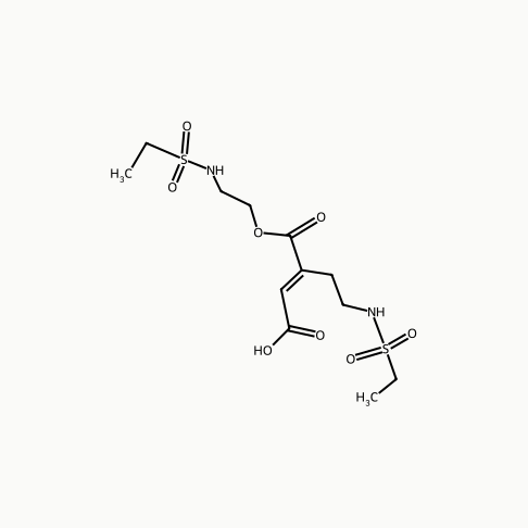 CCS(=O)(=O)NCCOC(=O)C(=CC(=O)O)CCNS(=O)(=O)CC